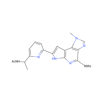 CNc1nc2[nH]c(-c3cccc(C(C)NC(C)=O)n3)cc2c2c1ncn2C